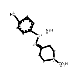 N#Cc1ccc(ON=C2CCN(C(=O)O)CC2)cc1.[NaH]